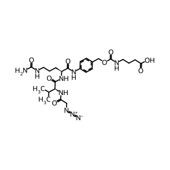 CC(C)[C@H](NC(=O)CN=[N+]=[N-])C(=O)N[C@@H](CCCNC(N)=O)C(=O)Nc1ccc(COC(=O)NCCCC(=O)O)cc1